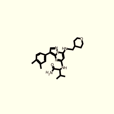 Cc1ccc(-c2cnn3c(NCC4CCOCC4)cc(NC(C(N)=O)C(C)C)nc23)cc1C